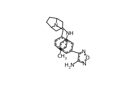 Cc1ccc(CN2C3CCC2CC(Nc2cccc(-c4nonc4N)c2)C3)cc1